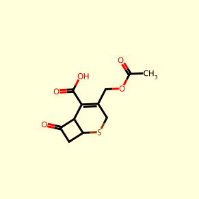 CC(=O)OCC1=C(C(=O)O)C2C(=O)CC2SC1